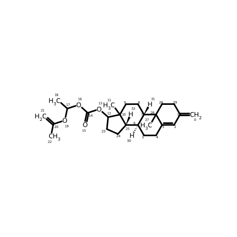 C=C1C=C2CC[C@@H]3[C@H](CCC4(C)C(OC(=O)OC(C)OC(=C)C)CC[C@@H]34)C2(C)CC1